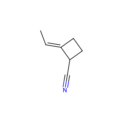 CC=C1CCC1C#N